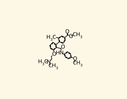 COC(=O)c1ccc(-c2cccc(OCCN(C)C)c2C(=O)Nc2ccc(OC)cc2)c(C)c1